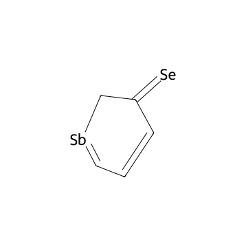 [Se]=C1C=C[CH]=[Sb][CH2]1